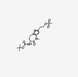 CN1C(=O)C(NC(=O)OC(C)(C)C)CCn2nc(CCOS(C)(=O)=O)cc21